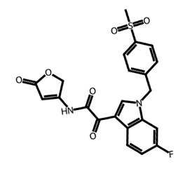 CS(=O)(=O)c1ccc(Cn2cc(C(=O)C(=O)NC3=CC(=O)OC3)c3ccc(F)cc32)cc1